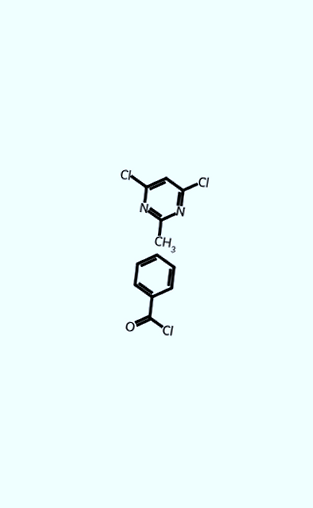 Cc1nc(Cl)cc(Cl)n1.O=C(Cl)c1ccccc1